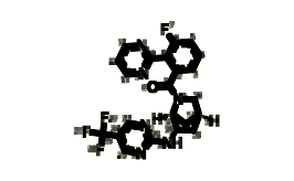 O=C(c1cccc(F)c1-c1ncccn1)N1C[C@H]2C[C@@H](Nc3ncc(C(F)(F)F)cn3)[C@@H]1C2